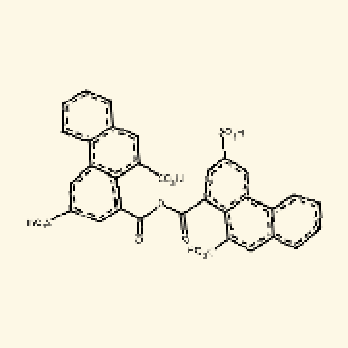 O=C(O)c1cc2ccccc2c2cc(S(=O)(=O)O)cc(C(=O)OC(=O)c3cc(S(=O)(=O)O)cc4c3c(C(=O)O)cc3ccccc34)c12